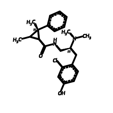 CC1C(C(=O)NC[C@H](Cc2ccc(O)cc2Cl)N(C)C)[C@@]1(C)c1ccccc1